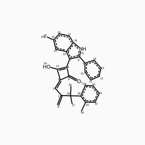 C=C(/C=C1\C(=O)C(c2c(-c3ccccc3)[nH]c3ccc(F)cc23)=C1O)C(C)(C)c1ccccc1C